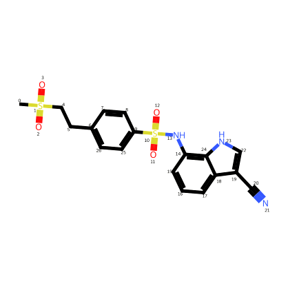 CS(=O)(=O)CCc1ccc(S(=O)(=O)Nc2cccc3c(C#N)c[nH]c23)cc1